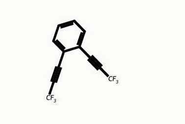 FC(F)(F)C#Cc1ccccc1C#CC(F)(F)F